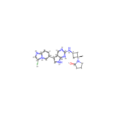 C[C@]1(N2CCCC2=O)C[C@H](Nc2ncc3c(-c4ccc5ncc(F)n5c4)c[nH]c3n2)C1